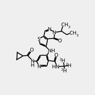 [2H]C([2H])([2H])NC(=O)c1cnc(NC(=O)C2CC2)cc1Nc1csc2cnn(C(C)CC)c(=O)c12